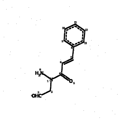 NN(C[C]=O)C(=O)/C=C/c1ccccc1